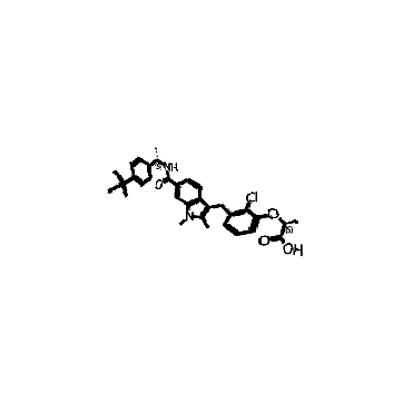 Cc1c(Cc2cccc(O[C@@H](C)C(=O)O)c2Cl)c2ccc(C(=O)N[C@@H](C)c3ccc(C(C)(C)C)cc3)cc2n1C